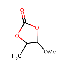 COC1OC(=O)OC1C